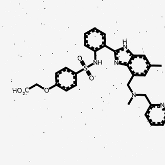 Cc1cc(CN(C)Cc2ccccn2)c2nc(-c3ccccc3NS(=O)(=O)c3ccc(OCC(=O)O)cc3)[nH]c2c1